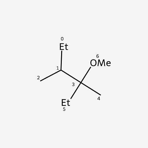 CCC(C)C(C)(CC)OC